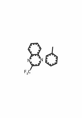 Cc1ccccc1.FC(F)(F)c1cnc2ccccc2n1